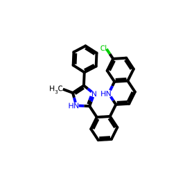 Cc1[nH]c(-c2ccccc2C2=C=Cc3ccc(Cl)cc3N2)nc1-c1ccccc1